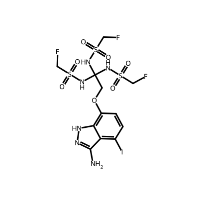 Nc1n[nH]c2c(OCC(NS(=O)(=O)CF)(NS(=O)(=O)CF)NS(=O)(=O)CF)ccc(I)c12